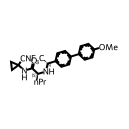 CCC[C@H](N[C@@H](c1ccc(-c2ccc(OC)cc2)cc1)C(F)(F)F)C(=O)NC1(C#N)CC1